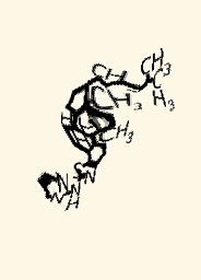 CC(C)CCCC(C)C1CC[C@H]2[C@@H]3CC=C4c5sc(Nc6ncccn6)nc5CC[C@]4(C)[C@H]3CC[C@]12C